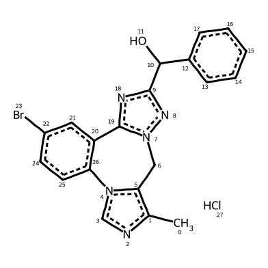 Cc1ncn2c1Cn1nc(C(O)c3ccccc3)nc1-c1cc(Br)ccc1-2.Cl